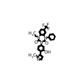 CCN1C(=O)N(c2ccc(-c3ccnn3C)c(O)c2)C(=O)N(C2=CCCC=C2)c2cc(C(F)(F)F)ccc21